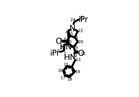 CC(C)CCC1C2C3C(=O)NC1(C(=O)NCc1ccccc1)CC3CN2CC(C)C